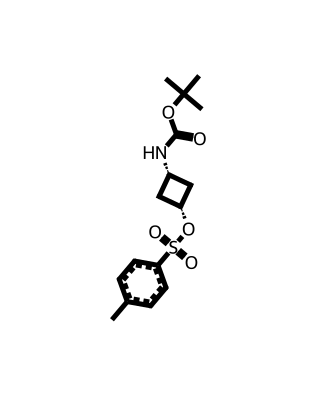 Cc1ccc(S(=O)(=O)O[C@H]2C[C@@H](NC(=O)OC(C)(C)C)C2)cc1